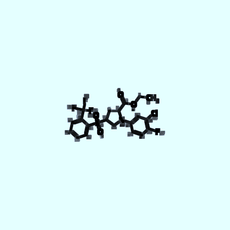 CCOC(=O)C1CC(S(=O)(=O)c2ccccc2C(F)(F)F)CN1c1ccc(F)c(Cl)c1